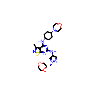 Cc1nsc2nc(Nc3cnn(C[C@H]4COCCO4)c3)nc(N[C@H]3CC[C@H](N4CCOCC4)CC3)c12